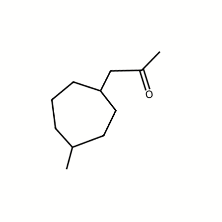 CC(=O)CC1CCCC(C)CC1